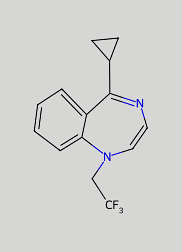 FC(F)(F)CN1C=CN=C(C2CC2)c2ccccc21